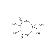 O=C1OCC(CO)(CO)COC(=O)C(O)C1O